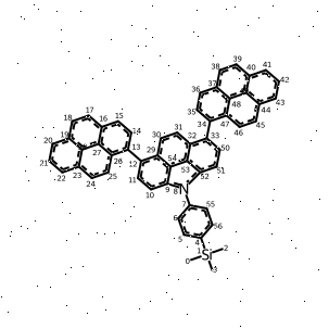 C[Si](C)(C)c1ccc(-n2c3ccc(-c4ccc5ccc6cccc7ccc4c5c67)c4ccc5c(-c6ccc7ccc8cccc9ccc6c7c89)ccc2c5c43)cc1